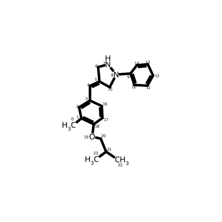 Cc1cc(C=C2CNN(c3ccccc3)C2)ccc1OCC(C)C